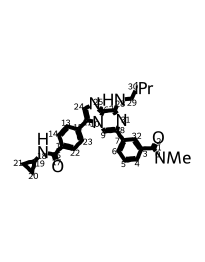 CNC(=O)c1cccc(-c2cn3c(-c4ccc(C(=O)NC5CC5)cc4)cnc3c(NCC(C)C)n2)c1